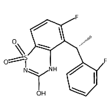 C[C@H](c1ccccc1F)c1c(F)ccc2c1NC(O)=NS2(=O)=O